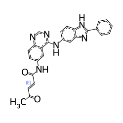 CC(=O)/C=C/C(=O)Nc1ccc2ncnc(Nc3ccc4[nH]c(-c5ccccc5)nc4c3)c2c1